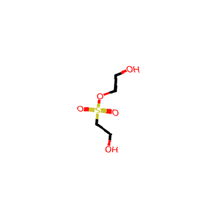 O=S(=O)(CCO)OCCO